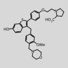 COc1cc(Cc2c(-c3ccc(OCCN4CCCC4C(=O)O)cc3)sc3cc(O)ccc23)ccc1CN1CCOCC1